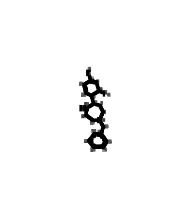 FC1=CC(F)C(C2CCN(Cc3ccccc3)CCN2)C=C1